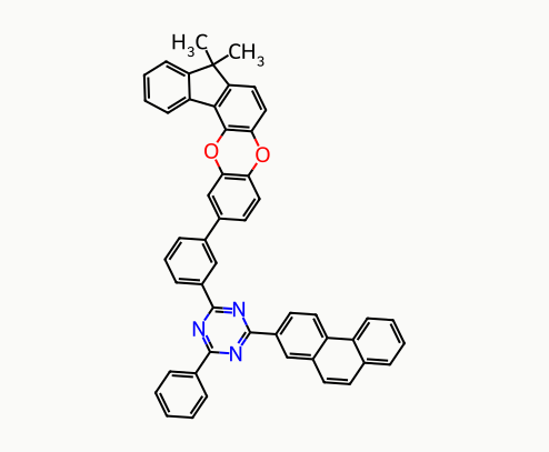 CC1(C)c2ccccc2-c2c1ccc1c2Oc2cc(-c3cccc(-c4nc(-c5ccccc5)nc(-c5ccc6c(ccc7ccccc76)c5)n4)c3)ccc2O1